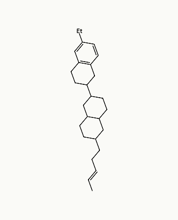 CC=CCCC1CCC2CC(C3CCc4cc(CC)ccc4C3)CCC2C1